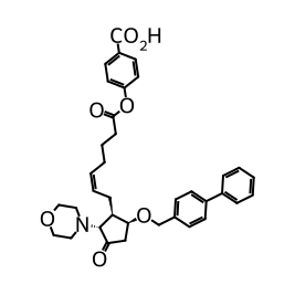 O=C(CCC/C=C\C[C@H]1[C@@H](OCc2ccc(-c3ccccc3)cc2)CC(=O)[C@@H]1N1CCOCC1)Oc1ccc(C(=O)O)cc1